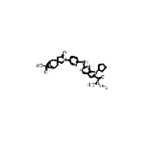 CN(C)C(=O)c1cc2cnc(Nc3ccc(N4CC5(CC4=O)CC4CCC(C5)N4C(=O)O)cn3)nc2n1C1CCCC1